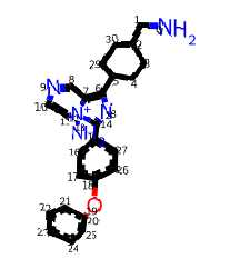 NCC1CCC(C2=C3C=NC=C[N+]3(N)C(c3ccc(Oc4ccccc4)cc3)=N2)CC1